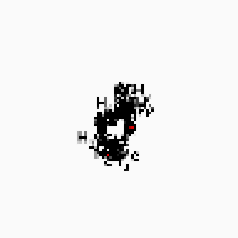 CCn1c(-c2cccnc2[C@H](C)OC)c2c3cc(ccc31)-c1csc(n1)C[C@H](NC(=O)[C@H](C(C)C)N(C)C(=O)N(C)CC1CCCN1C)C(=O)N1CCC[C@@H](C(=O)OCC(C)(C)C2)[N+]12CC2